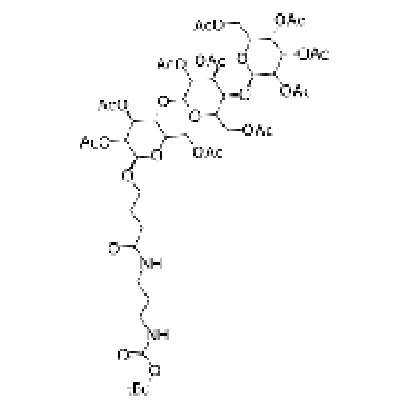 CC(=O)OCC1O[C@@H](OCCCC(=O)NCCCNC(=O)OC(C)(C)C)C(OC(C)=O)[C@@H](OC(C)=O)[C@@H]1O[C@@H]1OC(COC(C)=O)[C@H](O[C@H]2OC(COC(C)=O)[C@H](OC(C)=O)[C@H](OC(C)=O)C2OC(C)=O)[C@H](OC(C)=O)C1OC(C)=O